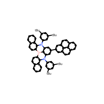 CC(C)(C)c1cc(N2c3cc(-c4cc5ccc6cccc7ccc(c4)c5c67)cc4c3B(c3ccc5ccccc5c32)c2ccc3ccccc3c2N4c2cc(C(C)(C)C)cc(C(C)(C)C)c2)cc(C(C)(C)C)c1